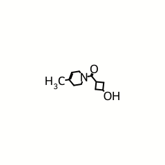 CC1=CCN(C(=O)C2CC(O)C2)CC1